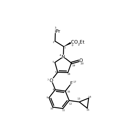 CCOC(=O)[C@H](CC(C)C)N1CC(Oc2cccc(C3CC3)c2F)=CC1=O